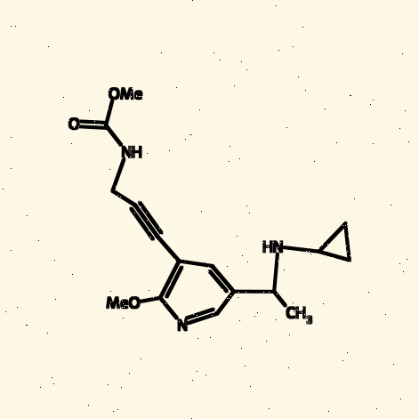 COC(=O)NCC#Cc1cc(C(C)NC2CC2)cnc1OC